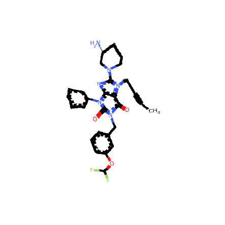 CC#CCn1c(N2CCC[C@@H](N)C2)nc2c1c(=O)n(Cc1cccc(OC(F)F)c1)c(=O)n2-c1ccccc1